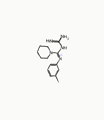 Cc1cccc(/N=C(/NC(=N)N)N2CCCCC2)c1